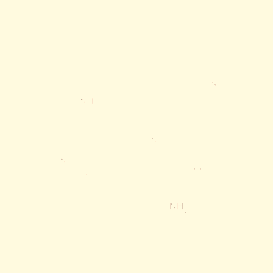 NC(=O)c1ccnc(C(N)=O)c1.c1c[nH]c(CCC2CCNCC2)c1